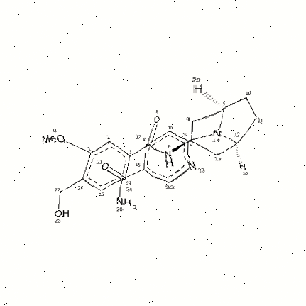 COc1cc(C(=O)N[C@H]2C[C@H]3CC[C@@H](C2)N3c2ccc(C(N)=O)cn2)ccc1CO